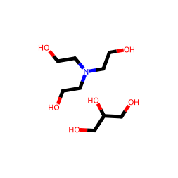 OCC(O)CO.OCCN(CCO)CCO